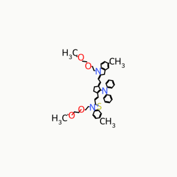 CCOCCOCCN1/C(=C/C=C2\CCC(/C=C/c3sc4cc(C)ccc4[n+]3CCOCCOCC)=C2N(c2ccccc2)c2ccccc2)Cc2cc(C)ccc21